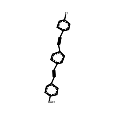 CCCCCCCCc1ccc(C#Cc2ccc(C#Cc3ccc(CC)cc3)cc2)cc1